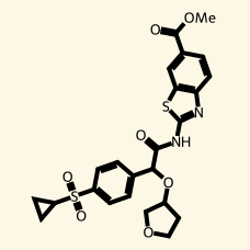 COC(=O)c1ccc2nc(NC(=O)C(OC3CCOC3)c3ccc(S(=O)(=O)C4CC4)cc3)sc2c1